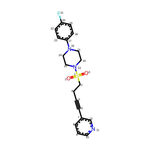 O=S(=O)(C[CH]C#Cc1cccnc1)N1CCN(c2ccc(F)cc2)CC1